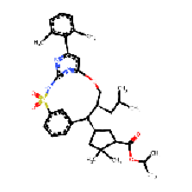 Cc1cccc(C)c1-c1cc2nc(n1)NS(=O)(=O)c1cccc(c1)C([C@H]1CC(C(=O)OC(C)C)C(C)(C)C1)[C@H](CC(C)C)CO2